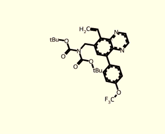 C=Cc1c(CN(C(=O)OC(C)(C)C)C(=O)OC(C)(C)C)cc(-c2ccc(OC(F)(F)F)cc2)c2nccnc12